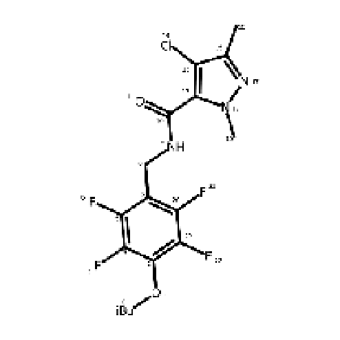 CCC(C)Oc1c(F)c(F)c(CNC(=O)c2c(Cl)c(C)nn2C)c(F)c1F